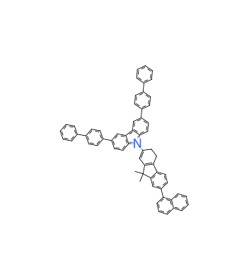 CC1(C)C2=C(CCC(n3c4ccc(-c5ccc(-c6ccccc6)cc5)cc4c4cc(-c5ccc(-c6ccccc6)cc5)ccc43)=C2)c2ccc(-c3cccc4ccccc34)cc21